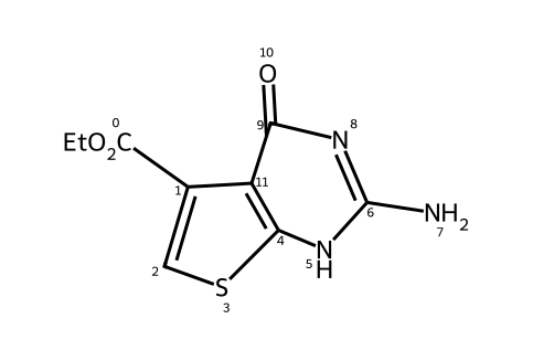 CCOC(=O)c1csc2[nH]c(N)nc(=O)c12